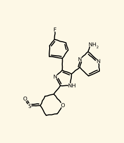 Nc1nccc(-c2[nH]c(C3CC(=S=O)CCO3)nc2-c2ccc(F)cc2)n1